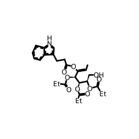 C/C=C(\OC(=O)CCc1c[nH]c2ccccc12)[C@H](OC(=O)CC)[C@H](OC(=O)CC)[C@@H](CO)OC(=O)CC